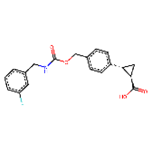 O=C(NCc1cccc(F)c1)OCc1ccc([C@@H]2C[C@H]2C(=O)O)cc1